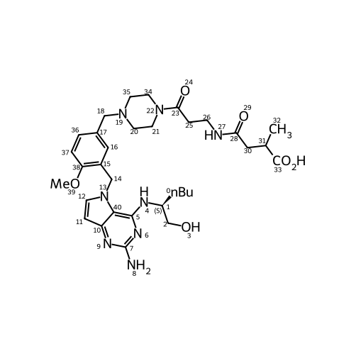 CCCC[C@@H](CO)Nc1nc(N)nc2ccn(Cc3cc(CN4CCN(C(=O)CCNC(=O)CC(C)C(=O)O)CC4)ccc3OC)c12